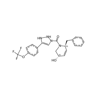 O=C(N1C=C(c2ccc(OC(F)(F)F)cc2)NN1)N1C[C@@H](O)C=C[C@@H]1Cc1ccccc1